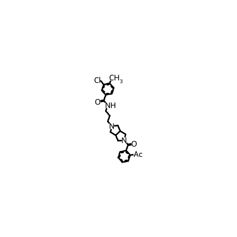 CC(=O)c1ccccc1C(=O)N1CC2CN(CCCNC(=O)c3ccc(C)c(Cl)c3)CC2C1